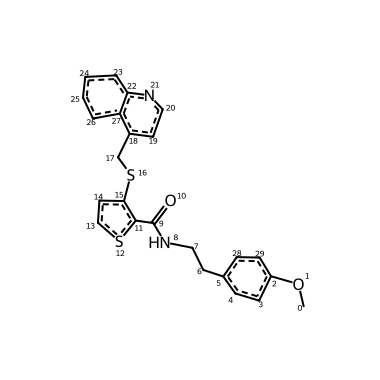 COc1ccc(CCNC(=O)c2sccc2SCc2ccnc3ccccc23)cc1